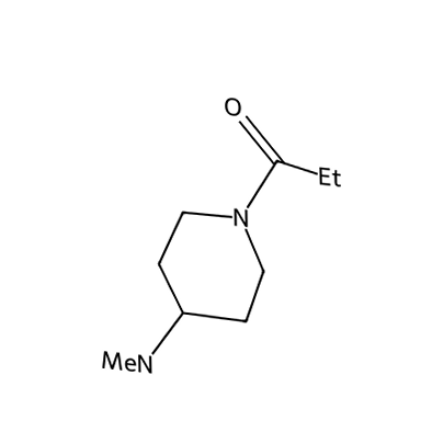 CCC(=O)N1CCC(NC)CC1